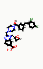 O=C(O)c1ccc2nc(CN3CCN(C(=O)c4cccc(Cc5ccc(Cl)cc5Cl)c4)CC3)n(C[C@@H]3CCO3)c2c1